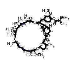 COC1C(=O)C(C)CC(C)/C=C/C=C/C=C(\C)[C@@H](OC)C[C@@H]2CCC(C)C(O)(O2)C(=O)C(=O)N2CC[C@H]3CC2C(=O)OC(CC(=O)C(C)/C=C(\C)C1O)C3CC1CC[C@@H](OC(=O)N(C)OC)C(OC)C1